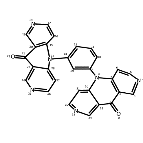 O=c1c2cnccc2n(-c2cccc(-n3c4ccncc4c(=O)c4cnccc43)c2)c2ccncc12